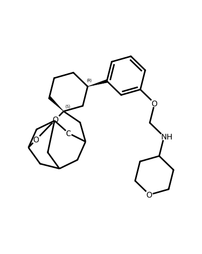 c1cc(OCNC2CCOCC2)cc([C@@H]2CCC[C@]3(CC4CC5CC(C4)CC(C5)OO3)C2)c1